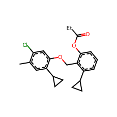 CCC(=O)Oc1cccc(C2CC2)c1COc1cc(Cl)c(C)cc1C1CC1